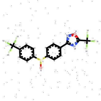 [O-][S+](c1ccc(-c2noc(C(F)(F)F)n2)cc1)c1ccc(C(F)(F)F)cc1